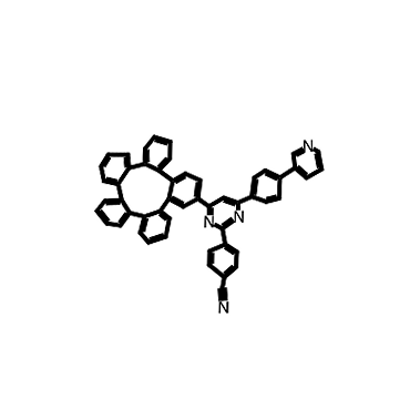 N#Cc1ccc(-c2nc(-c3ccc(-c4cccnc4)cc3)cc(-c3ccc4c5ccccc5c5ccccc5c5ccccc5c5ccccc5c4c3)n2)cc1